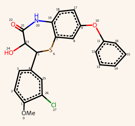 COc1ccc(C2Sc3cc(Oc4ccccc4)ccc3NC(=O)C2O)cc1Cl